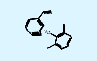 C=Cc1ccccc1.Cc1cccc(C)c1O